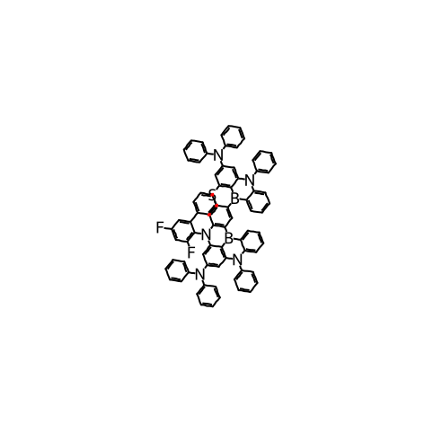 Fc1cc(F)c(N2c3cc4c(cc3B3c5ccccc5N(c5ccccc5)c5cc(N(c6ccccc6)c6ccccc6)cc2c53)B2c3ccccc3N(c3ccccc3)c3cc(N(c5ccccc5)c5ccccc5)cc(c32)S4)c(-c2ccccc2)c1